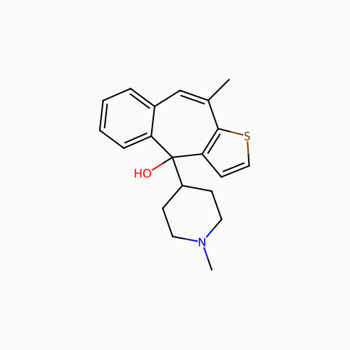 CC1=Cc2ccccc2C(O)(C2CCN(C)CC2)c2ccsc21